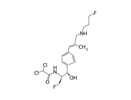 C/C(=C\c1ccc([C@@H](O)[C@@H](CF)NC(=O)C(Cl)Cl)cc1)CNCCCF